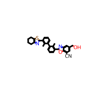 Cc1c(-c2nc3cc(CO)cc(C#N)c3o2)cccc1-c1cccc(-c2nc3c(s2)CCCC3)c1C